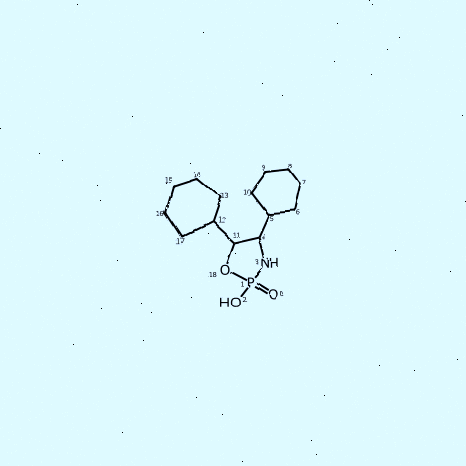 O=P1(O)NC(C2CCCCC2)C(C2CCCCC2)O1